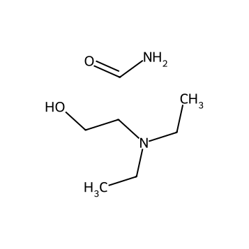 CCN(CC)CCO.NC=O